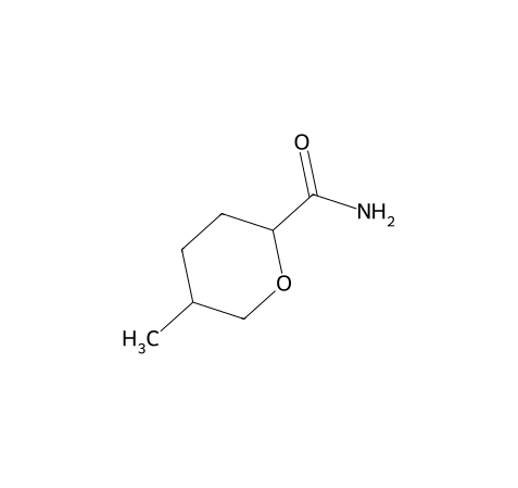 CC1CCC(C(N)=O)OC1